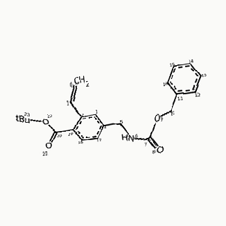 C=Cc1cc(CNC(=O)OCc2ccccc2)ccc1C(=O)OC(C)(C)C